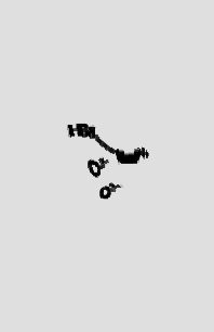 [O-2].[O-2].[V+4][BaH]